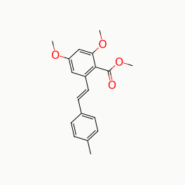 COC(=O)c1c(C=Cc2ccc(C)cc2)cc(OC)cc1OC